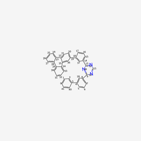 c1ccc(-c2cccc(-c3ncnc(-c4cccc(-c5ccc6c7ccccc7c7ccccc7c6c5)c4)n3)c2)cc1